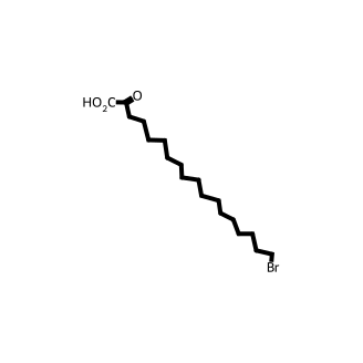 O=C(O)C(=O)CCCCCCCCCCCCCCCCBr